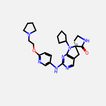 O=C1NCC[C@@]12Cc1cnc(Nc3ccc(OCCN4CCCC4)nc3)nc1N2C1CCCC1